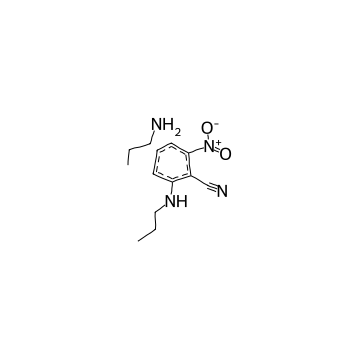 CCCN.CCCNc1cccc([N+](=O)[O-])c1C#N